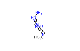 NCCCNc1ccc(-c2ccnc(Nc3cccc(CC4CCN(CC(=O)O)CC4)c3)n2)cn1